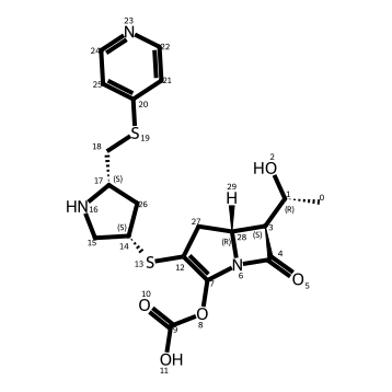 C[C@@H](O)[C@H]1C(=O)N2C(OC(=O)O)=C(S[C@@H]3CN[C@H](CSc4ccncc4)C3)C[C@H]12